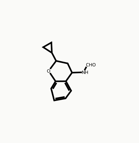 O=CNC1CC(C2CC2)Oc2ccccc21